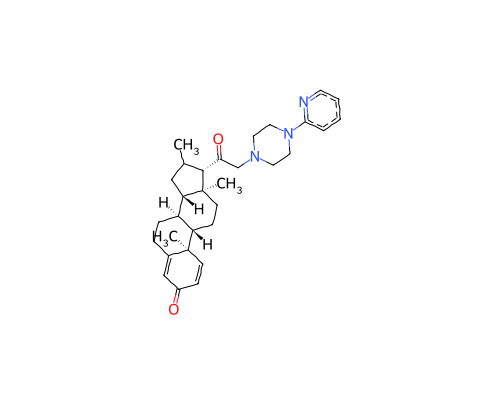 CC1C[C@H]2[C@@H]3CCC4=CC(=O)C=C[C@]4(C)[C@H]3CC[C@]2(C)[C@H]1C(=O)CN1CCN(c2ccccn2)CC1